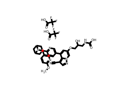 COc1ccc(CN2C3CC2CN(c2ccc(-c4cc(OCC(O)CNC(=O)O)cn5ncc(C#N)c45)cn2)C3)cn1.O=C(O)C(F)(F)F.O=C(O)C(F)(F)F